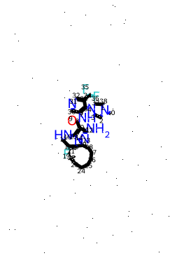 CN1CCN(c2c(NC(=O)c3c(N)nn4c3NCC(F)C43CCCCCCCCC3)cncc2C(F)F)CC1